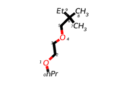 CCCOCCOCC(C)(C)CC